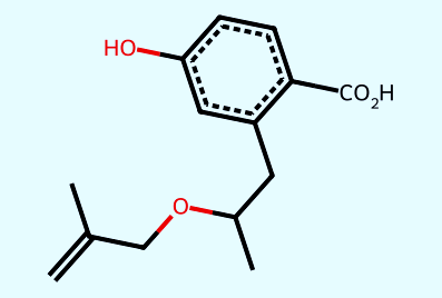 C=C(C)COC(C)Cc1cc(O)ccc1C(=O)O